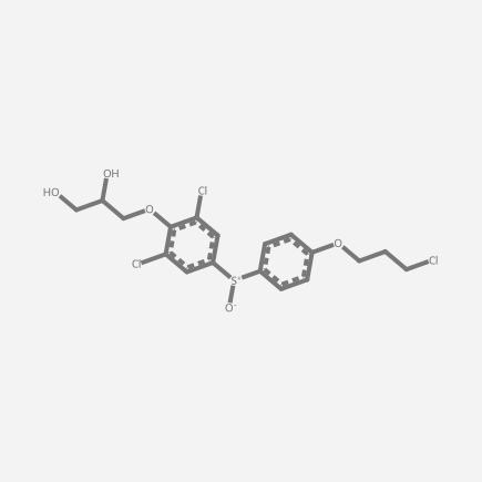 [O-][S+](c1ccc(OCCCCl)cc1)c1cc(Cl)c(OCC(O)CO)c(Cl)c1